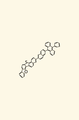 c1ccc(-c2c3ccccc3c(-c3ccc4cc(-c5ccc6c(ccc7c6sc6ccc8c9ccccc9oc8c67)c5)ccc4c3)c3ccccc23)cc1